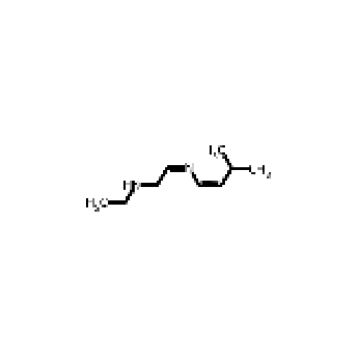 CCNC/C=N\C=C/C(C)C